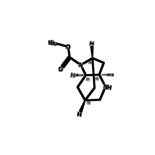 CC(C)(C)OC(=O)N1[C@H]2C[C@@H]3CN[C@](C)(C2)[C@H]1C3